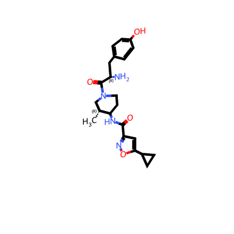 C[C@@H]1CN(C(=O)[C@H](N)Cc2ccc(O)cc2)CCC1NC(=O)c1cc(C2CC2)on1